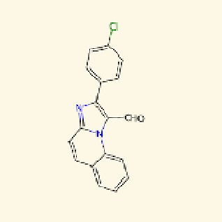 O=Cc1c(-c2ccc(Cl)cc2)nc2ccc3ccccc3n12